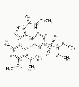 CCNC(=O)c1nnc(-c2cc(C(C)C)c(OC)cc2O)n1-c1ccc(S(=O)(=O)N(CC)CC)cc1